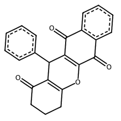 O=C1CCCC2=C1C(c1ccccc1)C1=C(O2)C(=O)c2ccccc2C1=O